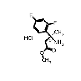 COC(=O)C[C@](C)(N)c1ccc(F)cc1F.Cl